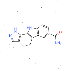 NC(=O)c1ccc2[nH]c3c(c2c1)CCc1cn[nH]c1-3